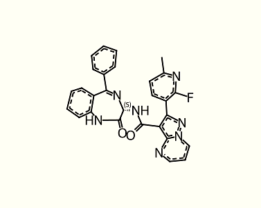 Cc1ccc(-c2nn3cccnc3c2C(=O)N[C@H]2N=C(c3ccccc3)c3ccccc3NC2=O)c(F)n1